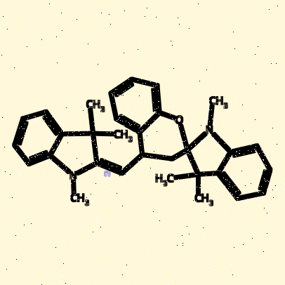 CN1/C(=C/C2CC3(Oc4ccccc42)N(C)c2ccccc2C3(C)C)C(C)(C)c2ccccc21